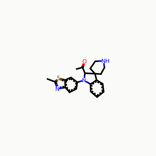 CC(=O)C1N(c2ccc3nc(C)sc3c2)c2ccccc2C12CCNCC2